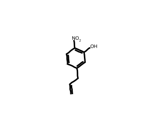 C=CCc1[c]cc([N+](=O)[O-])c(O)c1